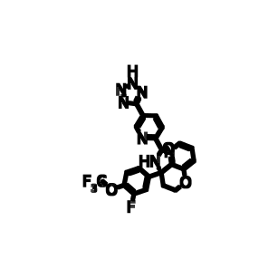 O=C(N[C@]1(c2ccc(OC(F)(F)F)c(F)c2)CCOc2cccnc21)c1ccc(-c2nn[nH]n2)cn1